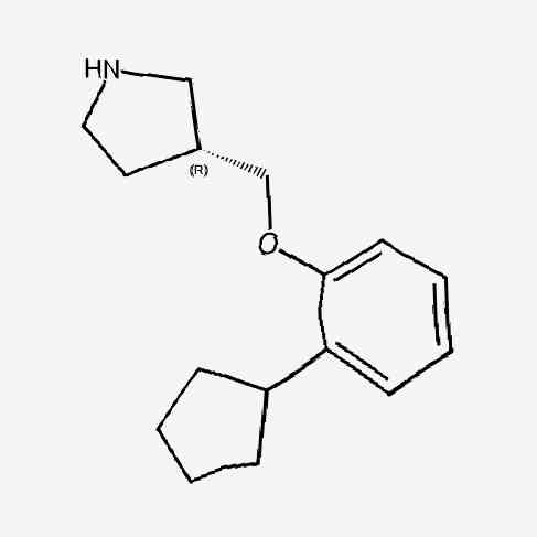 c1ccc(C2CCCC2)c(OC[C@@H]2CCNC2)c1